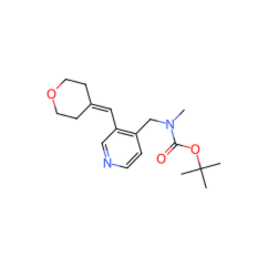 CN(Cc1ccncc1C=C1CCOCC1)C(=O)OC(C)(C)C